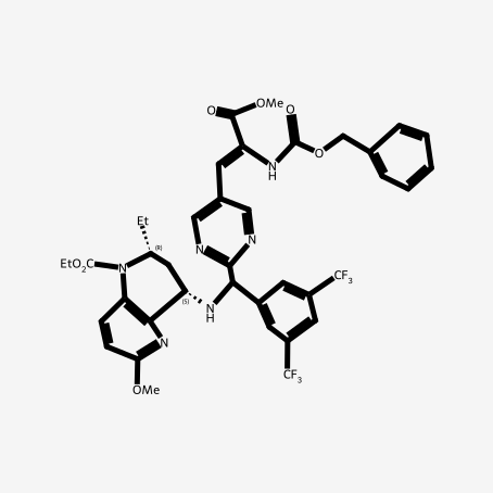 CCOC(=O)N1c2ccc(OC)nc2[C@@H](NC(c2cc(C(F)(F)F)cc(C(F)(F)F)c2)c2ncc(C=C(NC(=O)OCc3ccccc3)C(=O)OC)cn2)C[C@H]1CC